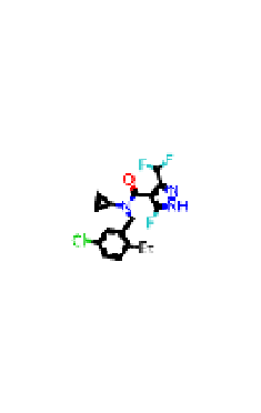 CCc1ccc(Cl)cc1CN(C(=O)c1c(C(F)F)n[nH]c1F)C1CC1